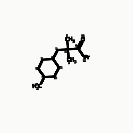 CC1CCC(CC(C)(C)C(=O)C(C)C)CC1